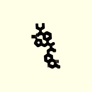 CCN(CC)C(=O)c1cccc(C(CN2CC[C@H](O)C2)N(C)C(=O)Cc2ccc3ncc(=O)[nH]c3c2)c1